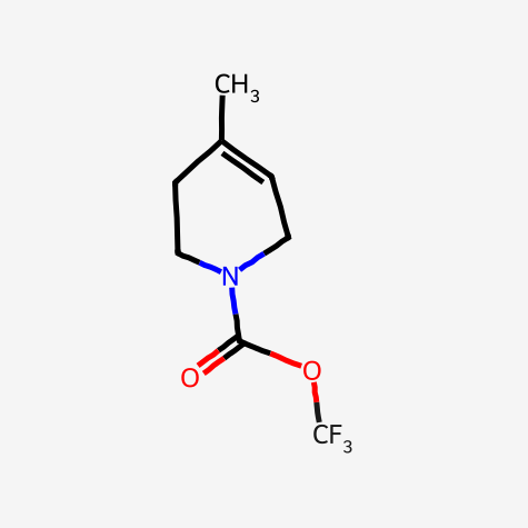 CC1=CCN(C(=O)OC(F)(F)F)CC1